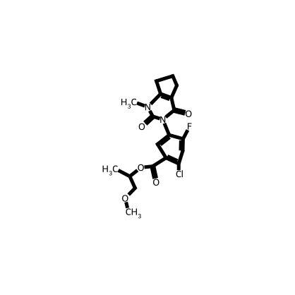 COCC(C)OC(=O)c1cc(-n2c(=O)c3c(n(C)c2=O)CCC3)c(F)cc1Cl